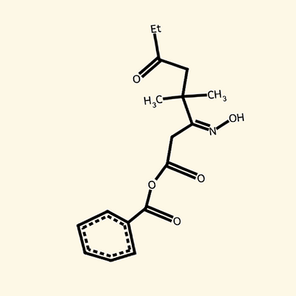 CCC(=O)CC(C)(C)C(CC(=O)OC(=O)c1ccccc1)=NO